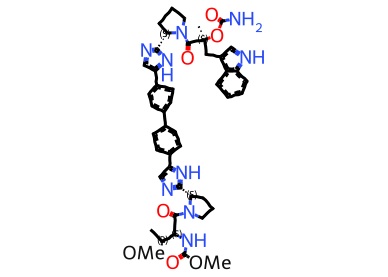 COC(=O)N[C@H](C(=O)N1CCC[C@H]1c1ncc(-c2ccc(-c3ccc(-c4cnc([C@@H]5CCCN5C(=O)[C@](C)(Cc5c[nH]c6ccccc56)OC(N)=O)[nH]4)cc3)cc2)[nH]1)[C@@H](C)OC